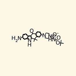 CC(C)(C)OC(=O)N[S+]([O-])N1CCN(c2ccc3c(c2)C(C)(C)c2[nH]c4cc(N)ccc4c2C3=O)CC1